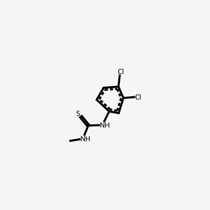 CNC(=S)Nc1ccc(Cl)c(Cl)c1